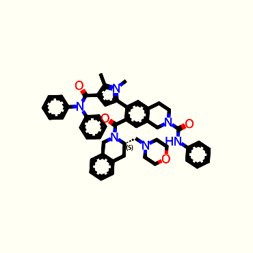 Cc1c(C(=O)N(c2ccccc2)c2ccccc2)cc(-c2cc3c(cc2C(=O)N2Cc4ccccc4C[C@H]2CN2CCOCC2)CN(C(=O)Nc2ccccc2)CC3)n1C